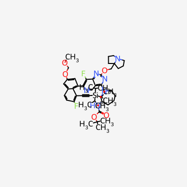 COCOc1cc(-c2ncc3c(N4CCCC[C@H](NC(=O)OC(C)(C)C)C4)nc(OCC45CCCN4CCC5)nc3c2F)c2c(C#C[Si](C(C)C)(C(C)C)C(C)C)c(F)ccc2c1